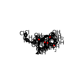 CN[C@H](CC(C)C)C(=O)NC1C(=O)N[C@@H](CC(N)=O)C(=O)N[C@H]2C(=O)N[C@H]3C(=O)N[C@H](C(=O)N[C@@H](C(=O)O)c4cc(O)cc(O)c4-c4cc3ccc4O)[C@H](O[C@H]3C[C@](C)(N)[C@@H](O)[C@H](C)O3)c3ccc(c(Cl)c3)Oc3cc2cc(c3O[C@@H]2O[C@H](CO)[C@@H](O[C@@H]3O[C@H](CNCc4ccc(Oc5ccc(Cl)c(Cl)c5)nc4)[C@H](O)[C@H](O)[C@H]3O)[C@H](O)[C@H]2O)Oc2ccc(cc2Cl)[C@H]1O